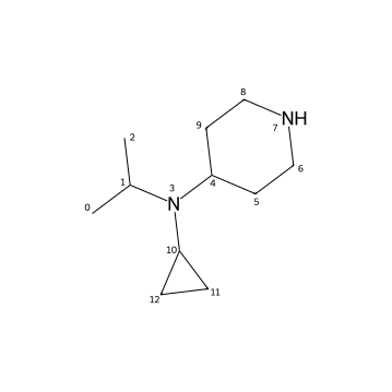 CC(C)N(C1CCNCC1)C1CC1